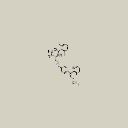 CCCN(c1ccc(/C=C/CC(NC(=O)c2c(F)cccc2F)C(=O)O)cc1)c1ncccn1